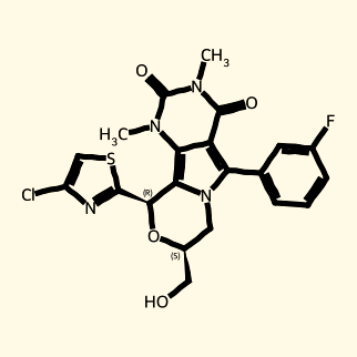 Cn1c(=O)c2c(-c3cccc(F)c3)n3c(c2n(C)c1=O)[C@H](c1nc(Cl)cs1)O[C@H](CO)C3